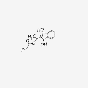 CC(OC(=O)CF)N1C(O)c2ccccc2C1O